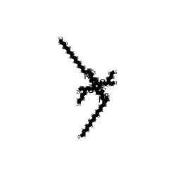 CCCCCCCCCCCCCCc1csc(-c2cc3c(OCC(CC)CCCCC)c4sc(-c5nc(CCCCCCCCCCCCCC)cs5)cc4c(OCC(CC)CCCC)c3s2)n1